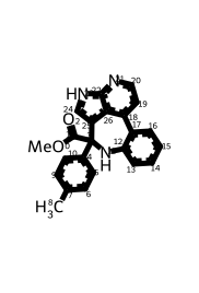 COC(=O)C1(c2ccc(C)cc2)Nc2ccccc2-c2ccnc3[nH]cc1c23